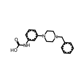 O=C(O)Nc1cccc(N2CCN(Cc3ccccc3)CC2)c1